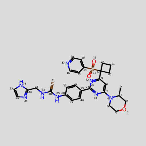 C[C@H]1COCCN1c1cc(C2(S(=O)(=O)c3ccncc3)CCC2)nc(-c2ccc(NC(=S)NCc3ncc[nH]3)cc2)n1